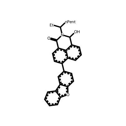 CCCCCC(CC)N1C(=O)c2ccc(-c3ccc4oc5ccccc5c4c3)c3cccc(c23)C1O